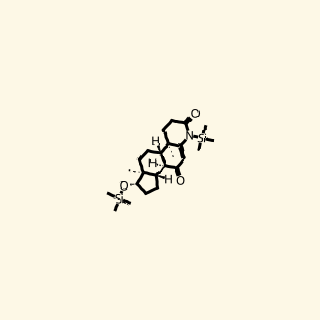 C[C@]12CC[C@H]3[C@@H](C(=O)C=C4N([Si](C)(C)C)C(=O)CC[C@@]43C)[C@@H]1CC[C@@H]2O[Si](C)(C)C